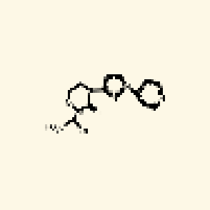 O=C(O)C(O)[C@H]1OCCN(c2ccn(-c3ccncc3)n2)C1=O